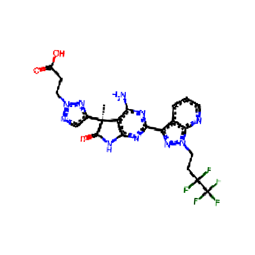 C[C@@]1(c2cnn(CCC(=O)O)n2)C(=O)Nc2nc(-c3nn(CCC(F)(F)C(F)(F)F)c4ncccc34)nc(N)c21